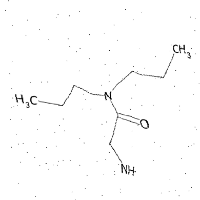 CCCN(CCC)C(=O)C[NH]